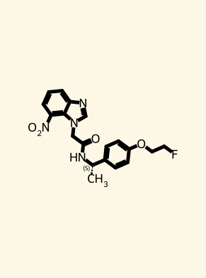 C[C@H](NC(=O)Cn1cnc2cccc([N+](=O)[O-])c21)c1ccc(OCCF)cc1